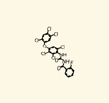 O=C(NC(=O)c1ccccc1F)Nc1c(Cl)cc(Oc2cc(Cl)c(Cl)cc2Cl)c(Cl)c1Cl